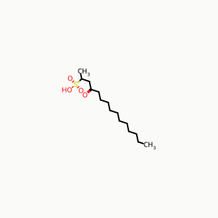 CCCCCCCCCCCC(=O)CC(C)S(=O)(=O)O